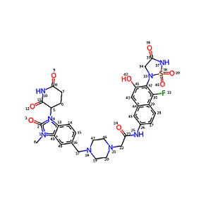 Cn1c(=O)n(C2CCC(=O)NC2=O)c2ccc(CN3CCN(CC(=O)Nc4ccc5c(F)c(N6CC(=O)NS6(=O)=O)c(O)cc5c4)CC3)cc21